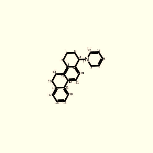 C1=CCN(C2CCCc3c2ccc2c3CCc3ccccc3-2)C=C1